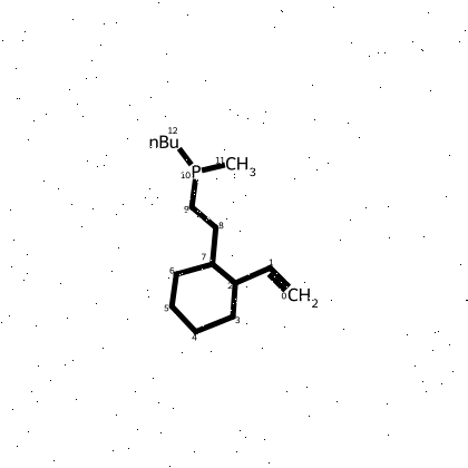 C=CC1CCCCC1CCP(C)CCCC